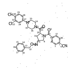 N#Cc1ccc(C(=O)N2C/C(=N/OCc3ccccc3)C[C@H]2C(=O)N2CCN(c3ccc(Cl)c(Cl)c3)CC2)cc1